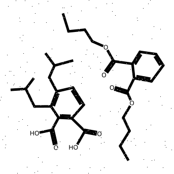 CC(C)Cc1ccc(C(=O)O)c(C(=O)O)c1CC(C)C.CCCCOC(=O)c1ccccc1C(=O)OCCCC